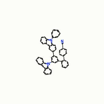 N#Cc1ccc(-c2ccccc2-c2cc(-c3ccc4c(c3)c3ccccc3n4-c3ccccc3)cc(-n3c4ccccc4c4ccccc43)c2)cc1